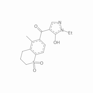 CCn1ncc(C(=O)c2ccc3c(c2C)CCCS3(=O)=O)c1O